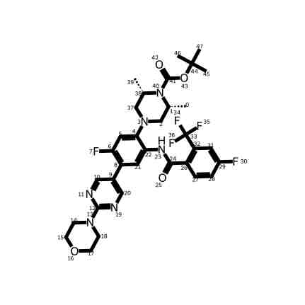 C[C@@H]1CN(c2cc(F)c(-c3cnc(N4CCOCC4)nc3)cc2NC(=O)c2ccc(F)cc2C(F)(F)F)C[C@H](C)N1C(=O)OC(C)(C)C